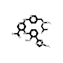 CCC(=O)c1cnc(Nc2ccc(CN(C)CC(F)F)cn2)cc1Nc1cccc(-c2ncn(C)n2)c1OC